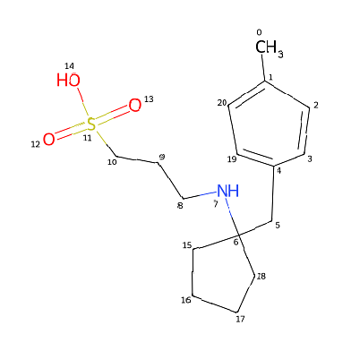 Cc1ccc(CC2(NCCCS(=O)(=O)O)CCCC2)cc1